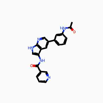 CC(=O)Nc1cccc(-c2cnc3[nH]cc(NC(=O)c4cccnc4)c3c2)c1